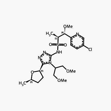 COCC(COC)n1c(NS(=O)(=O)[C@@H](C)[C@H](OC)c2ccc(Cl)cn2)nnc1[C@H]1CC[C@@H](C)O1